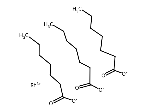 CCCCCCC(=O)[O-].CCCCCCC(=O)[O-].CCCCCCC(=O)[O-].[Rh+3]